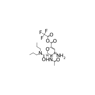 CCCN(CCC)C(=O)[C@@H]1OC(C(=O)OC(=O)C(F)(F)F)=C[C@H](N)[C@H]1NC(C)=O